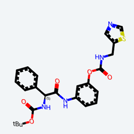 CC(C)(C)OC(=O)N[C@H](C(=O)Nc1cccc(OC(=O)NCc2cncs2)c1)c1ccccc1